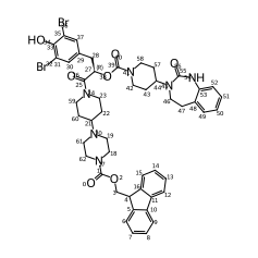 O=C(OCC1c2ccccc2-c2ccccc21)N1CCN(C2CCN(C(=O)[C@@H](Cc3cc(Br)c(O)c(Br)c3)OC(=O)N3CCC(N4CCc5ccccc5NC4=O)CC3)CC2)CC1